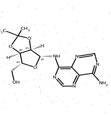 CC1(C)O[C@@H]2[C@H](O1)[C@@H](CO)O[C@H]2Nc1ncnc2c(N)ncnc12